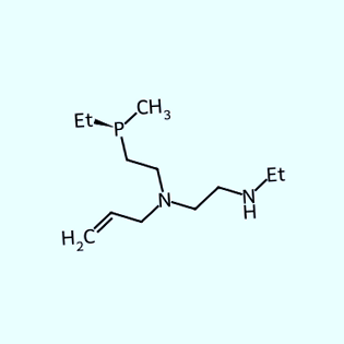 C=CCN(CCNCC)CC[P@](C)CC